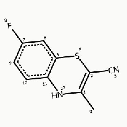 CC1=C(C#N)Sc2cc(F)ccc2N1